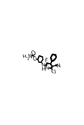 N#Cc1c(Cl)nc(NC2CCCC(OC(N)=O)C2)c(F)c1-c1ccccc1